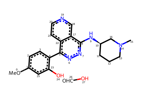 COc1ccc(-c2nnc(N[C@@H]3CCCN(C)C3)c3cnccc23)c(O)c1.O=CO